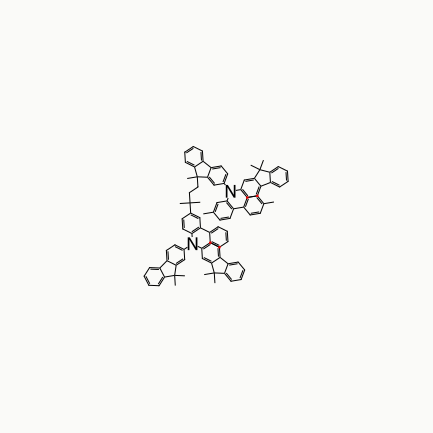 Cc1ccc(-c2ccc(C)cc2N(c2ccc3c(c2)C(C)(C)c2ccccc2-3)c2ccc3c(c2)C(C)(CCC(C)(C)c2ccc(N(c4ccc5c(c4)C(C)(C)c4ccccc4-5)c4ccc5c(c4)C(C)(C)c4ccccc4-5)c(-c4ccccc4)c2)c2ccccc2-3)cc1